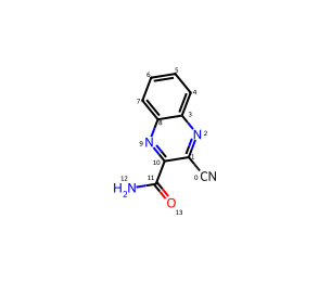 N#Cc1nc2ccccc2nc1C(N)=O